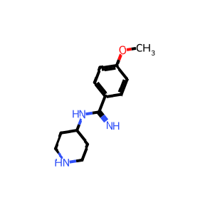 COc1ccc(C(=N)NC2CCNCC2)cc1